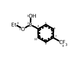 CCOB(O)c1ccc(C(F)(F)F)cc1